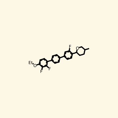 CCOc1ccc(-c2ccc(-c3ccc(C4CCC(C)CO4)c(F)c3)cc2)c(F)c1F